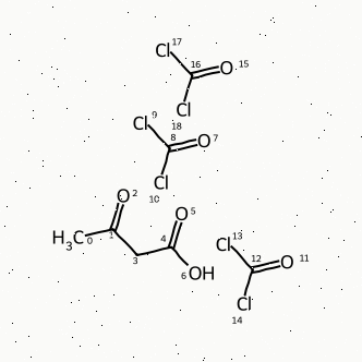 CC(=O)CC(=O)O.O=C(Cl)Cl.O=C(Cl)Cl.O=C(Cl)Cl